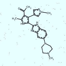 CC(=O)c1c(C)[nH]c(-c2nc3cc(N4CCN(C)CC4)ccc3[nH]2)c1-c1cnn(C)c1